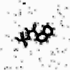 CCS(=O)(=O)ON(C)C(=O)c1cccc2ccccc12